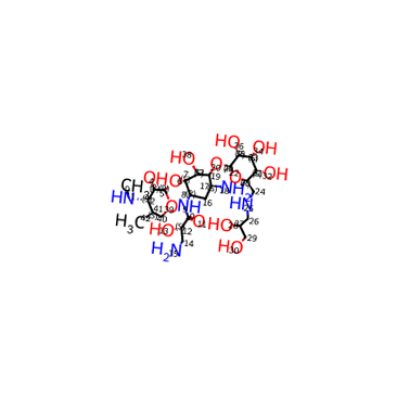 CN[C@@H]1[C@@H](O)[C@@H](O[C@H]2[C@H](NC(=O)[C@@H](O)CN)C[C@H](N)C(O[C@H]3O[C@H](CNCC(O)CO)[C@@H](O)[C@H](O)[C@H]3O)[C@@H]2O)OC[C@H]1C